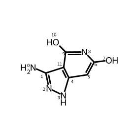 Nc1n[nH]c2cc(O)nc(O)c12